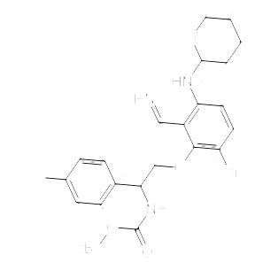 CC(C)(C)OC(=O)NC(COc1c(Br)ccc(NC2CCCCO2)c1C=N)c1ccc(F)cc1